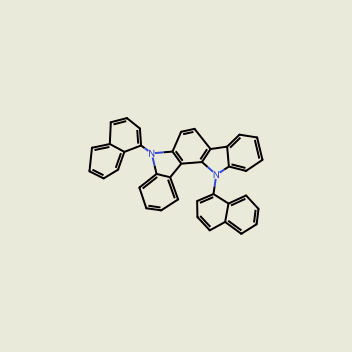 c1ccc2c(-n3c4ccccc4c4c3ccc3c5ccccc5n(-c5cccc6ccccc56)c34)cccc2c1